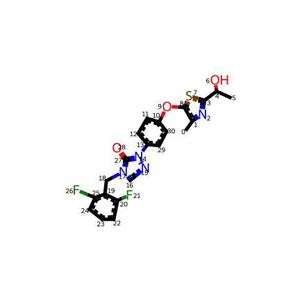 Cc1nc(C(C)O)sc1Oc1ccc(-n2ncn(Cc3c(F)cccc3F)c2=O)cc1